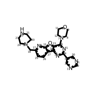 c1ncc(-c2nc(N3CCOCC3)c3oc4nc(CN5CCNCC5)ccc4c3n2)cn1